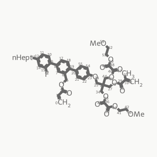 C=CC(=O)OCc1cc(-c2ccc(CCCCCCC)cc2F)ccc1-c1ccc(OCC(COC(=O)C(=C)C)(COC(=O)C(=O)OCCOC)COC(=O)C(=O)OCCOC)cc1